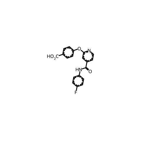 O=C(O)c1ccc(Oc2cc(C(=O)Nc3ccc(F)cc3)ccn2)cc1